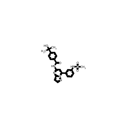 CC(C)(O)c1ccc(C(=O)Nc2cc(-c3cccc(NS(C)(=O)=O)c3)n3nccc3n2)cc1